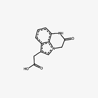 O=C(O)Cc1cn2c3c(cccc13)NC(=O)C2